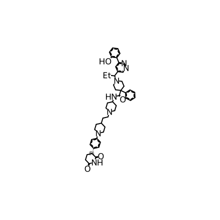 CCC(c1cnnc(-c2ccccc2O)c1)N1CCC(C(=O)NC2CCN(CCC3CCN(c4ccc([C@H]5CCC(=O)NC5=O)cc4)CC3)CC2)(c2ccccc2)CC1